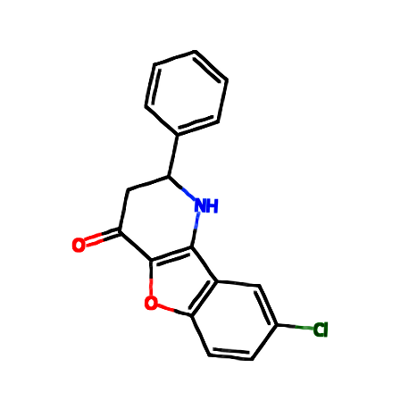 O=C1CC(c2ccccc2)Nc2c1oc1ccc(Cl)cc21